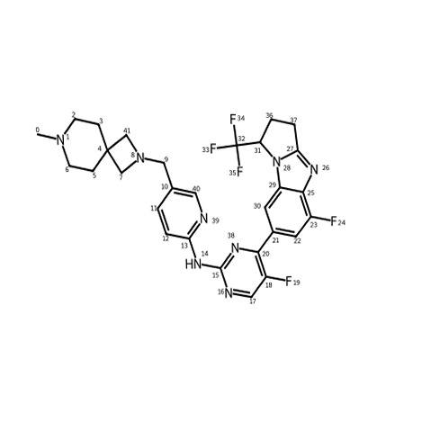 CN1CCC2(CC1)CN(Cc1ccc(Nc3ncc(F)c(-c4cc(F)c5nc6n(c5c4)C(C(F)(F)F)CC6)n3)nc1)C2